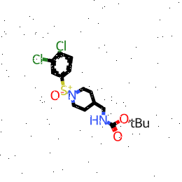 CC(C)(C)OC(=O)NCC1CCN([S+]([O-])c2ccc(Cl)c(Cl)c2)CC1